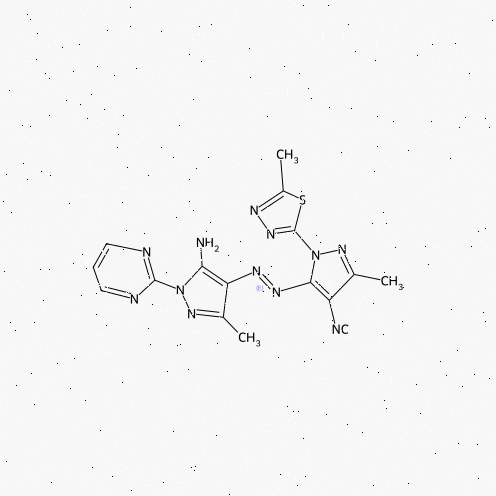 [C-]#[N+]c1c(C)nn(-c2nnc(C)s2)c1/N=N/c1c(C)nn(-c2ncccn2)c1N